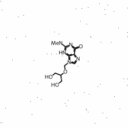 CNc1nc(=O)c2ncn(COC(CO)CO)c2[nH]1